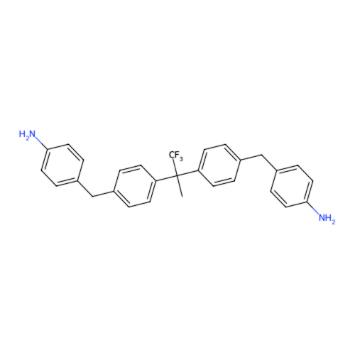 CC(c1ccc(Cc2ccc(N)cc2)cc1)(c1ccc(Cc2ccc(N)cc2)cc1)C(F)(F)F